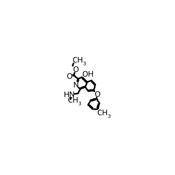 CCOC(=O)c1nc(CNC)c2cc(Oc3cccc(C)c3)ccc2c1O